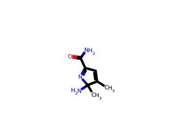 CC1=CC(C(N)=O)=NC1(C)N